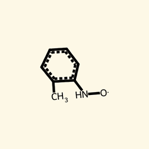 Cc1ccccc1N[O]